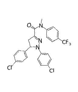 CN(C(=O)C1=NN(c2ccc(Cl)cc2)C(c2ccc(Cl)cc2)C1)c1ccc(C(F)(F)F)cc1